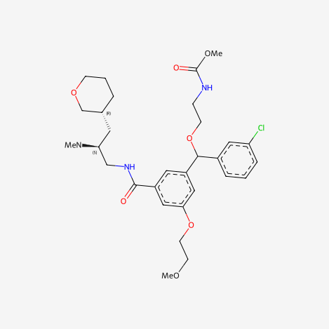 CN[C@H](CNC(=O)c1cc(OCCOC)cc(C(OCCNC(=O)OC)c2cccc(Cl)c2)c1)C[C@H]1CCCOC1